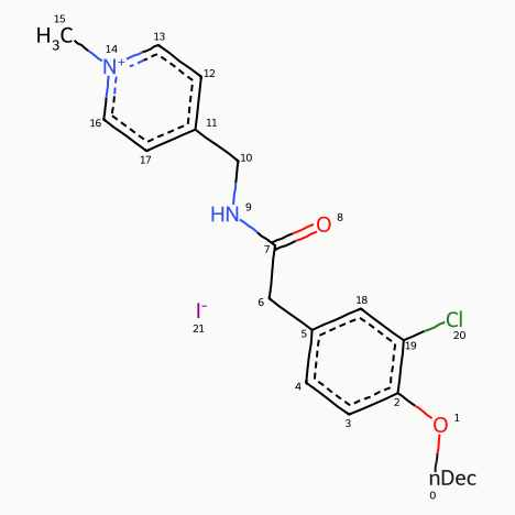 CCCCCCCCCCOc1ccc(CC(=O)NCc2cc[n+](C)cc2)cc1Cl.[I-]